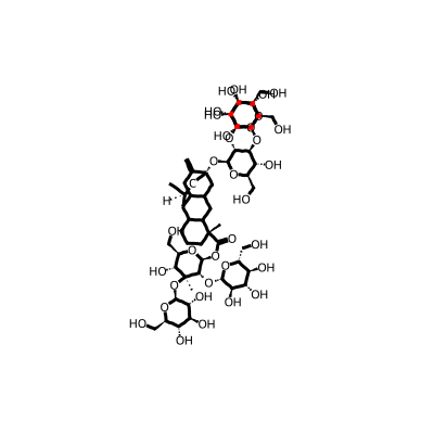 C=C1CC2C3CC4C(CCC[C@@]4(C)C(=O)O[C@@H]4O[C@H](CO)[C@@H](O)[C@](C)(O[C@@H]5O[C@H](CO)[C@@H](O)[C@H](O)[C@H]5O)[C@H]4O[C@@H]4O[C@H](CO)[C@@H](O)[C@H](O)[C@H]4O)C2[C@@H](C)C[C@]1(O[C@@H]1O[C@H](CO)[C@@H](O)[C@H](O[C@@H]2O[C@H](CO)[C@@H](O)[C@H](O)[C@H]2O)[C@H]1O[C@@H]1O[C@H](CO)[C@@H](O)[C@H](O)[C@H]1O)C3